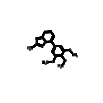 COc1cc(-c2cccc3nc(N)nn23)cc(OC)c1OC